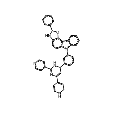 C1=CC(C2=CC(c3cccc(-n4c5ccccc5c5c6c(ccc54)NC(c4ccccc4)O6)c3)NC(c3ccncc3)=N2)=CCN1